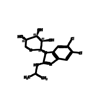 CC(C)Nc1nc2cc(Cl)c(Cl)cc2n1[C@H]1OC[C@@H](O)[C@H](O)[C@H]1O